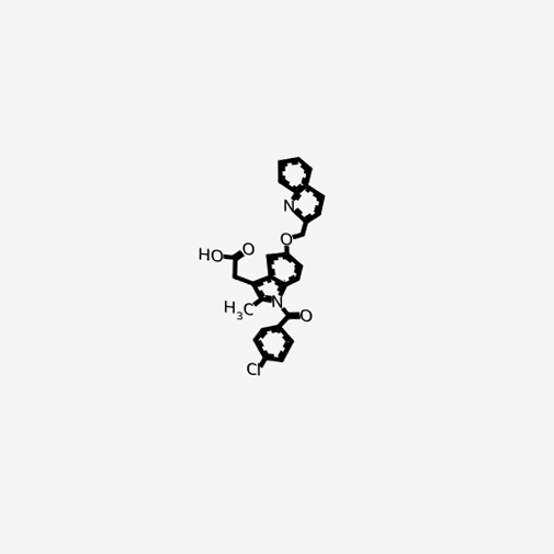 Cc1c(CC(=O)O)c2cc(OCc3ccc4ccccc4n3)ccc2n1C(=O)c1ccc(Cl)cc1